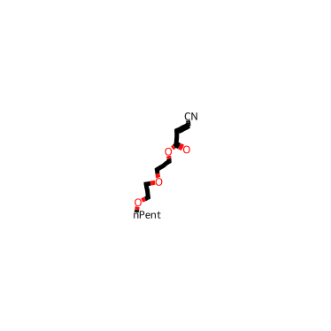 CCCCCOCCOCCOC(=O)C=CC#N